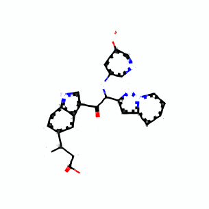 COc1cncc(NC(C(=O)c2c[nH]c3ccc(C(C)CC(=O)O)cc23)c2cc3ccccn3n2)c1